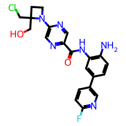 Nc1ccc(-c2ccc(F)nc2)cc1NC(=O)c1cnc(N2CCC2(CO)CCl)cn1